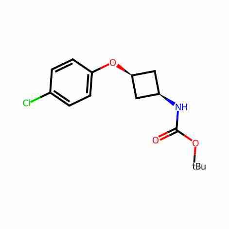 CC(C)(C)OC(=O)N[C@H]1C[C@@H](Oc2ccc(Cl)cc2)C1